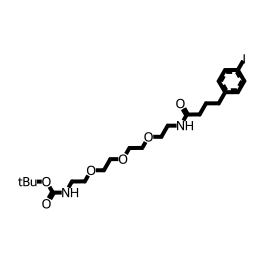 CC(C)(C)OC(=O)NCCOCCOCCOCCNC(=O)CCCc1ccc(I)cc1